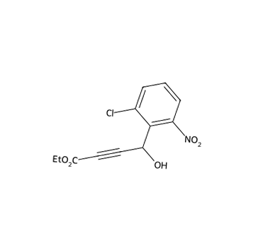 CCOC(=O)C#CC(O)c1c(Cl)cccc1[N+](=O)[O-]